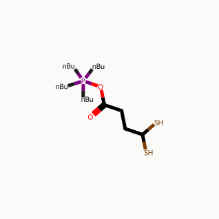 CCCCP(CCCC)(CCCC)(CCCC)OC(=O)CCC(S)S